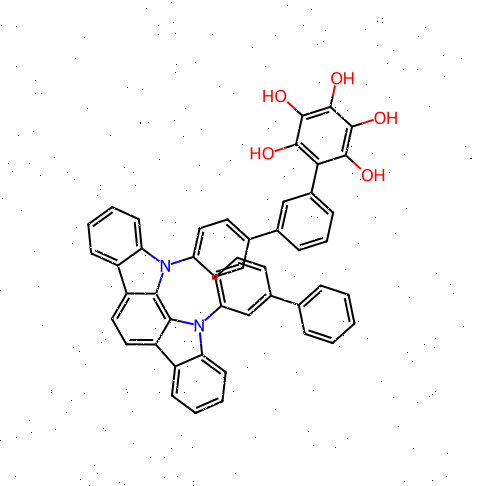 Oc1c(O)c(O)c(-c2cccc(-c3ccc(-n4c5ccccc5c5ccc6c7ccccc7n(-c7cccc(-c8ccccc8)c7)c6c54)cc3)c2)c(O)c1O